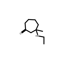 CCNC1(C)CCCCC(=O)C1